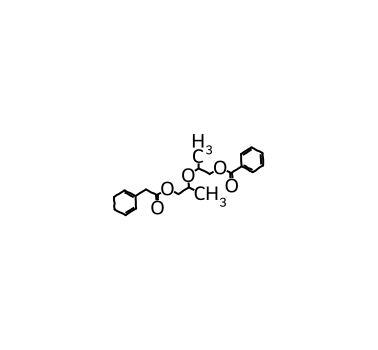 CC(COC(=O)CC1=CCCC=C1)OC(C)COC(=O)c1ccccc1